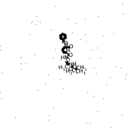 C[C@@H](CONC(=O)[C@@H]1CCC2CN1C(=O)N2OCc1ccccc1)NC(=O)OC(C)(C)C